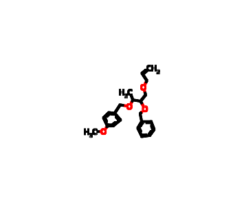 C=CCOCC(OCc1ccccc1)C(C)OCc1ccc(OC)cc1